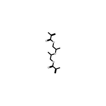 C=C(C)C(=O)OCC(C)OC(C)COC(=O)C(=C)C